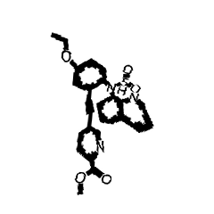 CCOc1ccc(N(c2cccc3cccnc23)[SH](=O)=O)c(C#Cc2ccc(C(=O)OC)nc2)c1